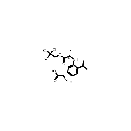 CC(C)c1ccccc1N[C@@H](C)C(=O)OCC(Cl)(Cl)Cl.NCC(=O)O